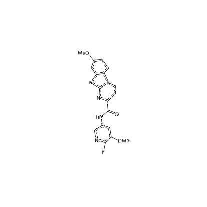 COc1ccc2c(c1)nc1nc(C(=O)Nc3cnc(F)c(OC)c3)ccn12